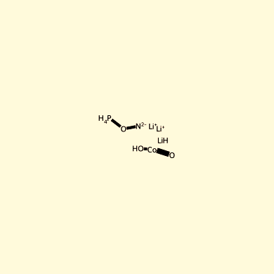 [Li+].[Li+].[LiH].[N-2]O[PH4].[O]=[Co][OH]